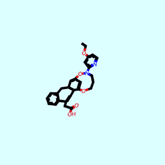 CCOc1ccnc(N2CCCOC3=CC(=CC4Cc5ccccc5C(CC(=O)O)=CC34)O2)c1